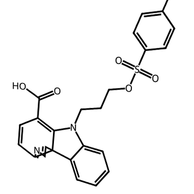 Cc1ccc(S(=O)(=O)OCCCN2C3=C(C(=O)O)C=CC4=NC=CC43c3ccccc32)cc1